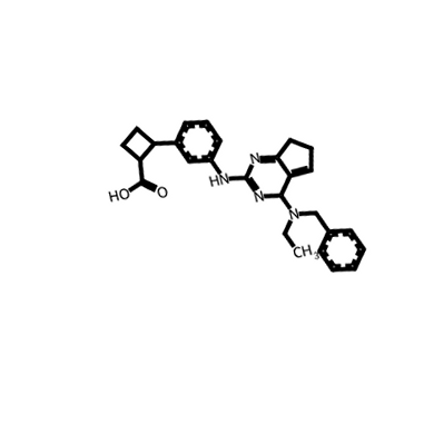 CCN(Cc1ccccc1)C1N=C(Nc2cccc(C3CCC3C(=O)O)c2)N=C2CCC=C21